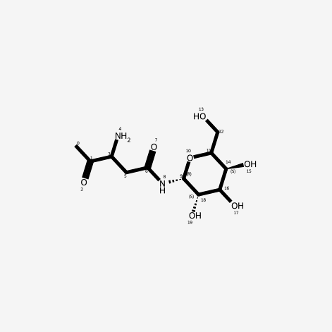 CC(=O)C(N)CC(=O)N[C@@H]1OC(CO)[C@@H](O)C(O)[C@@H]1O